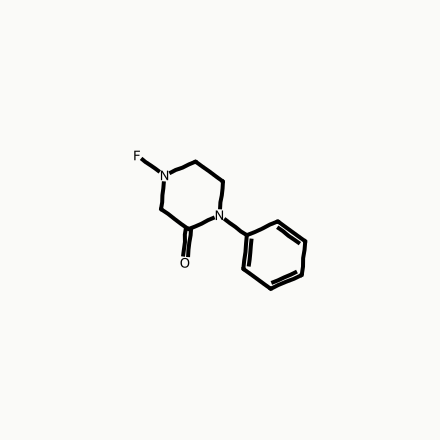 O=C1CN(F)CCN1c1ccccc1